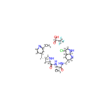 Cc1cc(C[C@@H]2CN[C@@H](C(=O)N[C@@H](C)C(=O)NCc3cnc4[nH]cc(Cl)c4c3)C2)ccn1.O=C(O)C(F)(F)F